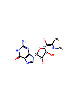 CNC(C)=C(O)[C@H]1O[C@@H](n2cnc3c(=O)[nH]c(N)nc32)[C@H](O)[C@@H]1O